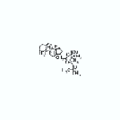 CC1(C)OC1COC(C[C@H]1CC[C@H]2[C@@H]3CC=C4CCCC[C@]4(C)[C@H]3CC[C@]12C)O[Si](C)(C)C(C)(C)C